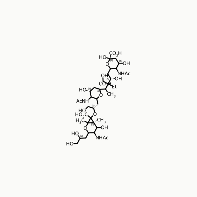 CCC(CO)(C(C)[C@]1(C(=O)O)C[C@@H](O)C(NC(C)=O)C(C[C@@H](CO)OC2(C(=O)O)C3(C)OC(C[C@H](O)CO)C(NC(C)=O)C(O)[C@@]32C)O1)[C@@H](O)CC1O[C@@](O)(C(=O)O)C[C@@H](O)C1NC(C)=O